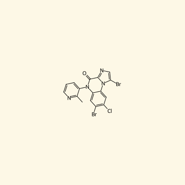 Cc1ncccc1-n1c(=O)c2ncc(Br)n2c2cc(Cl)c(Br)cc21